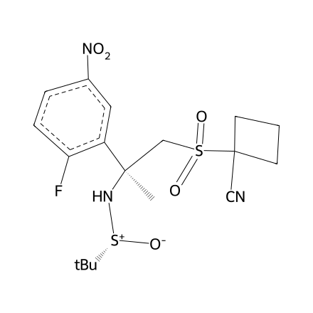 CC(C)(C)[S@@+]([O-])N[C@](C)(CS(=O)(=O)C1(C#N)CCC1)c1cc([N+](=O)[O-])ccc1F